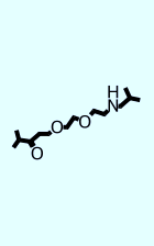 CC(C)CNCCOCCOCCC(=O)C(C)C